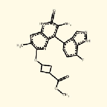 COC(=O)C1CC(Oc2nc3c(-c4ccc(F)c5[nH]ncc45)c(N)c(=O)[nH]c3cc2C)C1